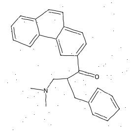 CN(C)CC(Cc1ccccc1)C(=O)c1ccc2ccc3ccccc3c2c1